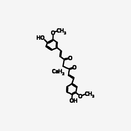 COc1cc(C=CC(=O)CC(=O)C=Cc2ccc(O)c(OC)c2)ccc1O.[CaH2]